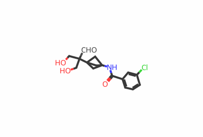 O=CC(CO)(CO)C12CC(NC(=O)c3cccc(Cl)c3)(C1)C2